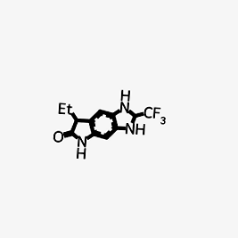 CCC1C(=O)Nc2cc3c(cc21)NC(C(F)(F)F)N3